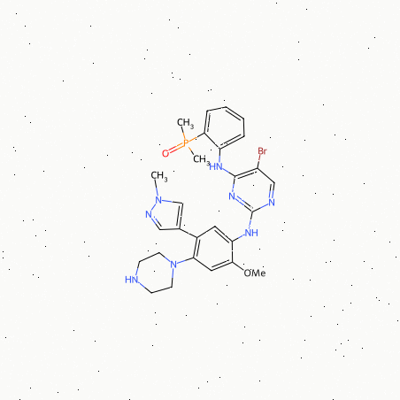 COc1cc(N2CCNCC2)c(-c2cnn(C)c2)cc1Nc1ncc(Br)c(Nc2ccccc2P(C)(C)=O)n1